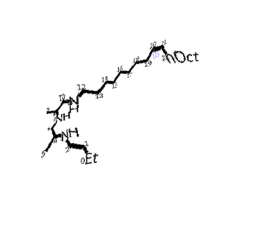 CCC=CNC(C)CNC(C)CNCCCCCCCC/C=C\CCCCCCCC